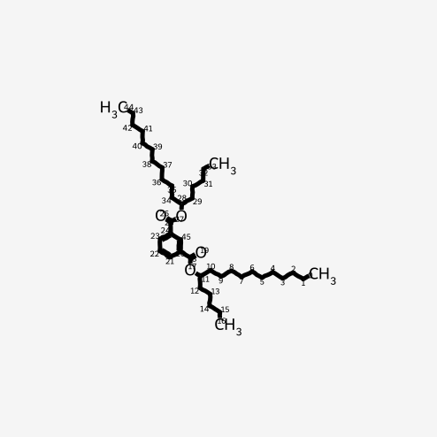 CCCCCCCCCCCC(CCCCC)OC(=O)c1cccc(C(=O)OC(CCCCC)CCCCCCCCCCC)c1